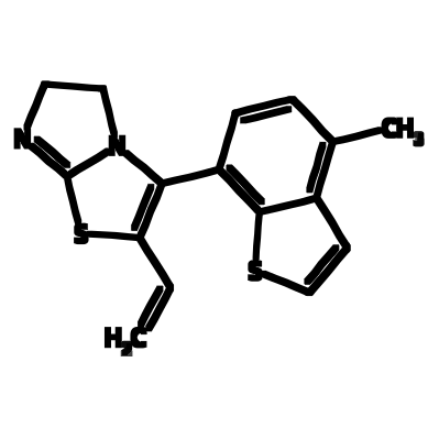 C=CC1=C(c2ccc(C)c3ccsc23)N2CCN=C2S1